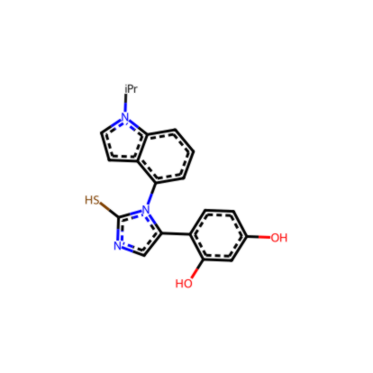 CC(C)n1ccc2c(-n3c(-c4ccc(O)cc4O)cnc3S)cccc21